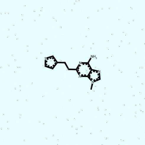 Cn1cnc2c(N)nc(CCc3ccsc3)nc21